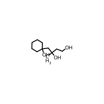 CC(O)(CCO)CC1(O)CCCCC1